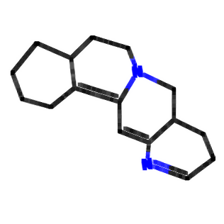 C1=NC2=CC3=C4CCCCC4CCN3CC2CC1